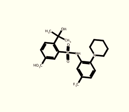 CC(C)(O)c1ccc(C(=O)O)cc1S(=O)(=O)Nc1cc(C(F)(F)F)ccc1N1CCCCC1